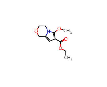 CCOC(=O)c1cc2n(c1OC)CCOC2